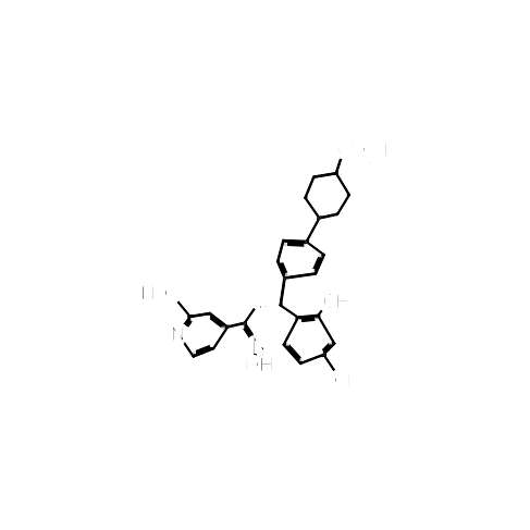 Cc1cc(/C(C[C@H](c2ccc(C3CCC(C(=O)O)CC3)cc2)c2ccc(Cl)cc2C)=N\O)ccn1